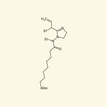 C=CC(CC)C1=NCCN1N(CC)C(=O)CCCCCCCCCCCCCCCCC